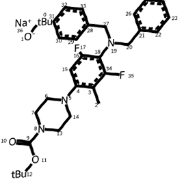 CC(C)(C)[O-].Cc1c(N2CCN(C(=O)OC(C)(C)C)CC2)cc(F)c(N(Cc2ccccc2)Cc2ccccc2)c1F.[Na+]